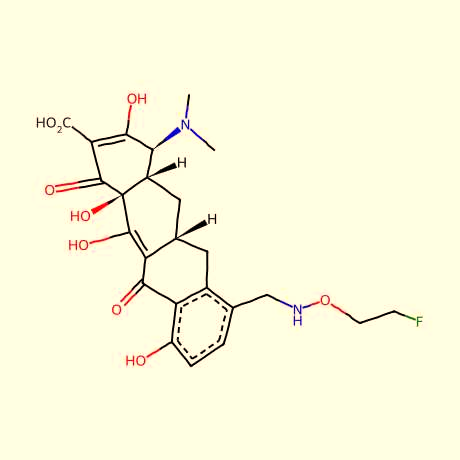 CN(C)[C@@H]1C(O)=C(C(=O)O)C(=O)[C@@]2(O)C(O)=C3C(=O)c4c(O)ccc(CNOCCF)c4C[C@H]3C[C@@H]12